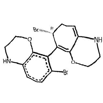 Brc1ccc2c(c1C1=C3OCCNC3=CC[C@H]1Br)OCCN2